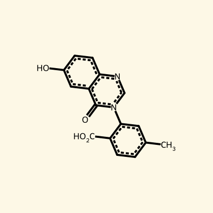 Cc1ccc(C(=O)O)c(-n2cnc3ccc(O)cc3c2=O)c1